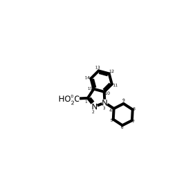 O=C(O)c1nn(C2CCCCC2)c2ccccc12